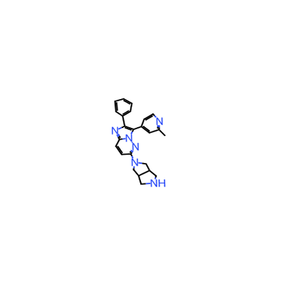 Cc1cc(-c2c(-c3ccccc3)nc3ccc(N4CC5CNCC5C4)nn23)ccn1